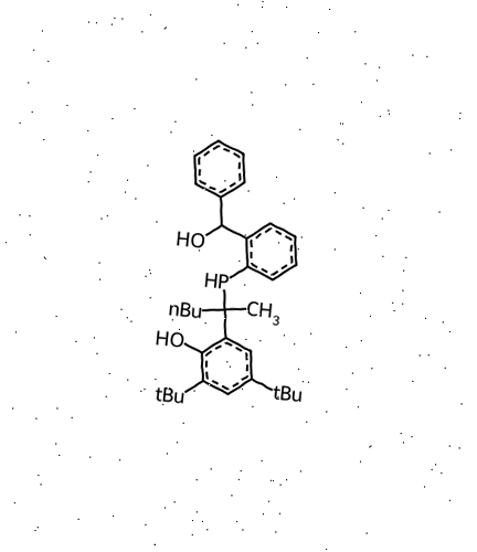 CCCCC(C)(Pc1ccccc1C(O)c1ccccc1)c1cc(C(C)(C)C)cc(C(C)(C)C)c1O